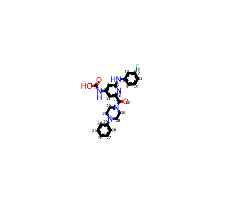 O=C(O)Nc1cc(Nc2cccc(F)c2)nc(C(=O)N2CCN(c3ccccc3)CC2)c1